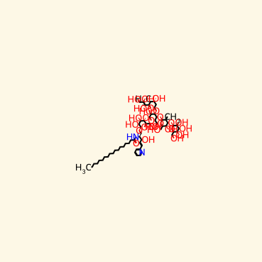 CCCCCCCCCCCCCCCCCC(=O)N[C@@H](CO[C@@H]1OC(CO)[C@@H](O[C@@H]2OC(CO)[C@H](O[C@@H]3OC(CO)[C@H](O)[C@H](O[C@@H]4OC(CO)[C@H](O)[C@H](O)C4O)C3C)[C@H](OC3C[C@@H](O)[C@@H](C)C([C@H](O)[C@H](O)CO)O3)C2O)[C@H](O)C1O)[C@H](O)/C=C/c1ccccn1